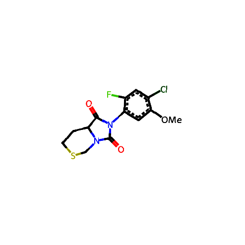 COc1cc(N2C(=O)C3CCSCN3C2=O)c(F)cc1Cl